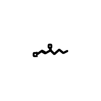 CCCCC(=O)C=CCl